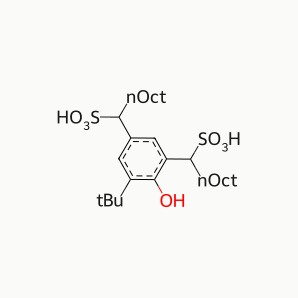 CCCCCCCCC(c1cc(C(CCCCCCCC)S(=O)(=O)O)c(O)c(C(C)(C)C)c1)S(=O)(=O)O